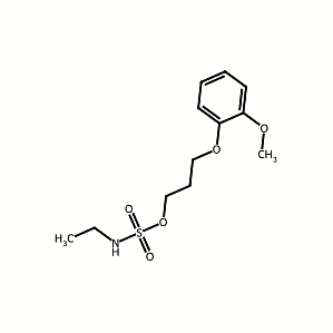 CCNS(=O)(=O)OCCCOc1ccccc1OC